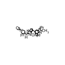 COc1nc(NC2CCN(C3COC3)CC2(F)F)nn2ccc(-c3cc(F)c4nc(C)n(C(C)C)c4c3)c12